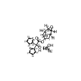 Br.CCO.C[N+]1(C)[C@@H]2CC(OC(=O)C(O)(c3cccs3)c3cccs3)C[C@H]1[C@@H]1O[C@@H]12.[Br-]